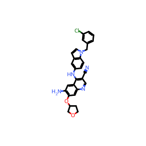 N#Cc1cnc2cc(OC3CCOC3)c(N)cc2c1Nc1ccc2c(ccn2Cc2cccc(Cl)c2)c1